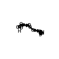 O=C1CCC(N2Cc3cc(C4CCN(C(=O)COCCCCOc5ccc(C6CCN(C7=Nn8c(nnc8C(F)(F)F)CC7)CC6)cc5)CC4)ccc3C2=O)C(=O)N1